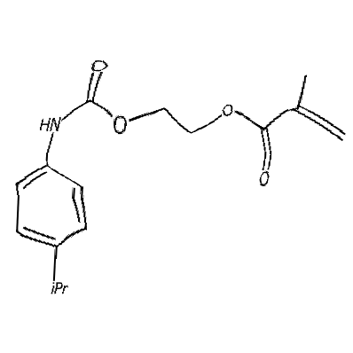 C=C(C)C(=O)OCCOC(=O)Nc1ccc(C(C)C)cc1